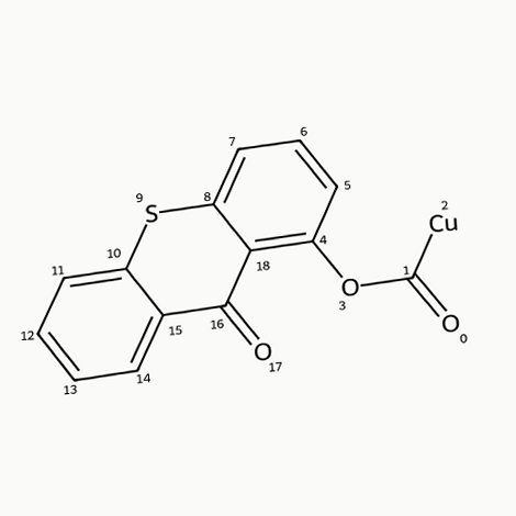 O=[C]([Cu])Oc1cccc2sc3ccccc3c(=O)c12